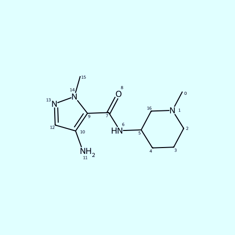 CN1CCCC(NC(=O)c2c(N)cnn2C)C1